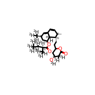 [2H]O[C@@H]1CC(CC[C@@H]2[C@@H]3C(=C[C@H](C([2H])([2H])[2H])C[C@@H]3OC(=O)[C@@]([2H])(C([2H])([2H])[2H])C([2H])([2H])C([2H])([2H])[2H])C=C[C@@H]2C)OC(=O)C1([2H])[2H]